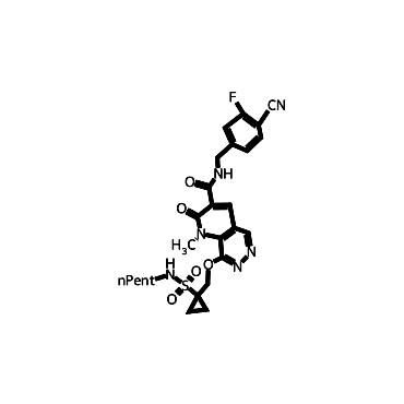 CCCCCNS(=O)(=O)C1(COc2nncc3cc(C(=O)NCc4ccc(C#N)c(F)c4)c(=O)n(C)c23)CC1